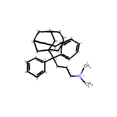 CN(C)CCCC(c1ccccc1)(c1ccccc1)C12CC3CC(CC(C3)C1)C2